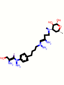 C[C@@H]1C[C@H](N(C)CC/C(N)=C/N(N)CCCCc2ccc(N(N)/C(I)=C(\N)CO)cc2)[C@@H](O)[C@H](O)O1